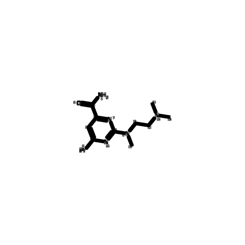 CC(C)c1cc(C(N)=O)nc(N(C)CCN(C)C)n1